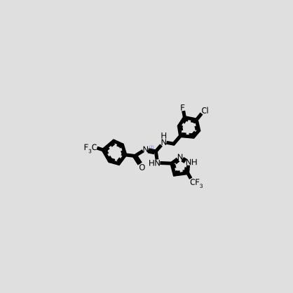 O=C(/N=C(/NCc1ccc(Cl)c(F)c1)Nc1cc(C(F)(F)F)[nH]n1)c1ccc(C(F)(F)F)cc1